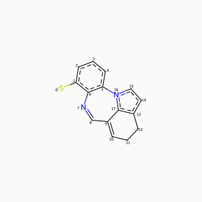 [S]c1cccc2c1N=CC1=CCCc3ccn-2c31